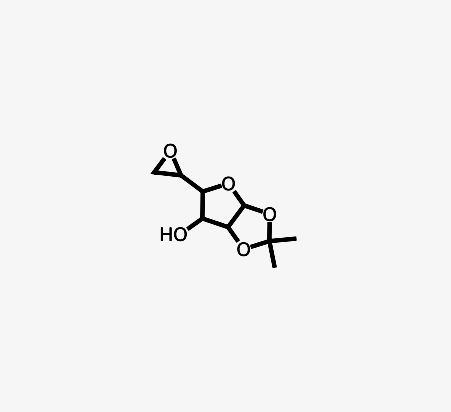 CC1(C)OC2OC(C3CO3)C(O)C2O1